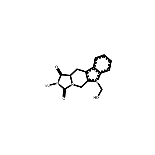 CCCCN1C(=O)C2Cc3c(n(CO)c4ccccc34)CN2C1=O